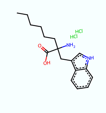 CCCCCCC(N)(Cc1c[nH]c2ccccc12)C(=O)O.Cl.Cl